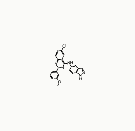 COc1cccc(-c2nc(Nc3ccc4[nH]ncc4c3)c3cc(Cl)ccc3n2)c1